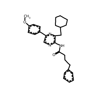 COc1ccc(-c2cnc(NC(=O)CCCc3ccccc3)c(CC3CCCCC3)n2)cc1